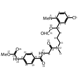 CNc1ccc(Cl)cc1C(CCCN(C)C(=O)CNC(=O)c1ccc(NC(=O)OC)cc1)OC=O